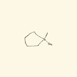 C[Si]1(O)CCCC1